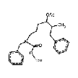 CC(=O)OC(CCCN(Cc1ccccc1)C(=O)OC(C)(C)C)C(C)Cc1ccccc1